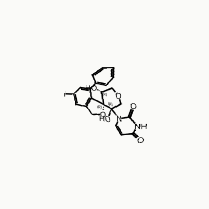 O=c1ccn([C@@]2(O)COC[C@@H](O)[C@@]23OCc2cc(I)cc(-c4ccccc4)c23)c(=O)[nH]1